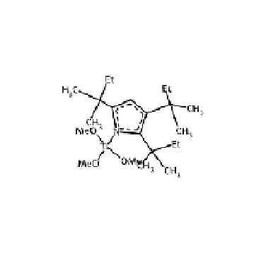 CCC(C)(C)c1cc(C(C)(C)CC)[n]([Ti]([O]C)([O]C)[O]C)c1C(C)(C)CC